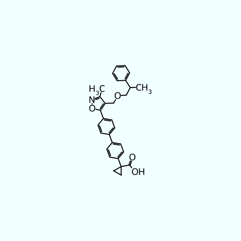 Cc1noc(-c2ccc(-c3ccc(C4(C(=O)O)CC4)cc3)cc2)c1COCC(C)c1ccccc1